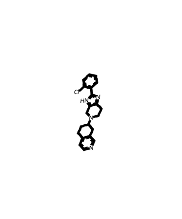 Clc1ccccc1-c1nc2c([nH]1)CN(C1CCc3ccncc3C1)CC2